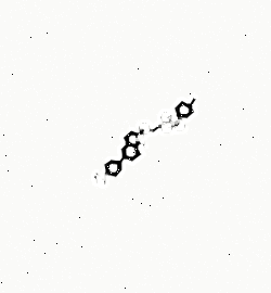 Cc1ccc(S(=O)(=O)OCCOc2ccc3cc(-c4ccc(N(C)C)cc4)ccc3n2)cc1